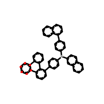 c1ccc(-c2ccccc2-c2c(-c3ccccc3)cccc2-c2ccc(N(c3ccc(-c4cccc5ccccc45)cc3)c3ccc4ccccc4c3)cc2)cc1